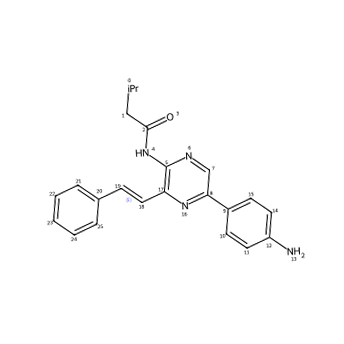 CC(C)CC(=O)Nc1ncc(-c2ccc(N)cc2)nc1/C=C/c1ccccc1